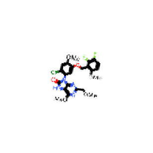 COCc1nc(OC)c2[nH]c(=O)n(-c3cc(OCc4c(OC)ccc(F)c4F)c(OC)cc3Cl)c2n1